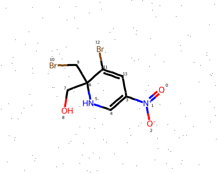 O=[N+]([O-])C1=CNC(CO)(CBr)C(Br)=C1